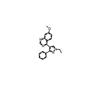 CCn1cc(-c2ncnc3cc(OC)ccc23)c(-c2ccccc2)n1